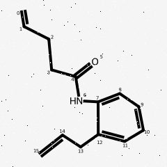 C=CCCC(=O)Nc1ccccc1CC=C